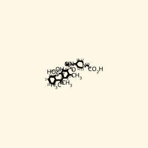 Cc1cc2c(cc1S(=O)(=O)NC1CCN(CC(=O)O)CC1)S(O)(O)c1ccccc1C2(C)C